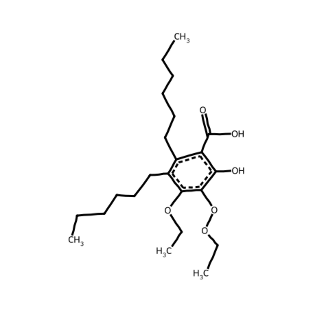 CCCCCCc1c(CCCCCC)c(C(=O)O)c(O)c(OOCC)c1OCC